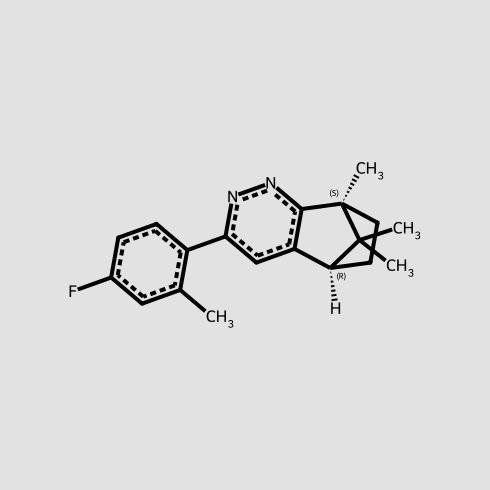 Cc1cc(F)ccc1-c1cc2c(nn1)[C@@]1(C)CC[C@@H]2C1(C)C